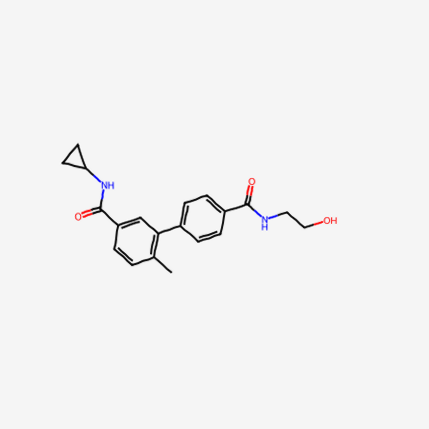 Cc1ccc(C(=O)NC2CC2)cc1-c1ccc(C(=O)NCCO)cc1